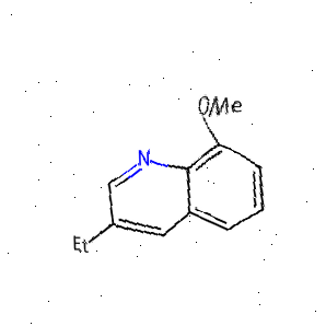 [CH2]Cc1cnc2c(OC)cccc2c1